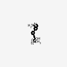 CCN(C)C(=O)[C@H](O)C#Cc1cccc(-c2ccc3ccnc(N)c3c2)c1